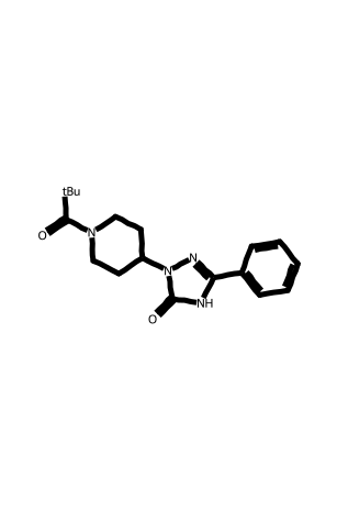 CC(C)(C)C(=O)N1CCC(n2nc(-c3ccccc3)[nH]c2=O)CC1